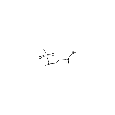 CC(C)NCCN(C)S(C)(=O)=O